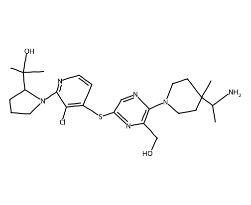 CC(N)C1(C)CCN(c2ncc(Sc3ccnc(N4CCCC4C(C)(C)O)c3Cl)nc2CO)CC1